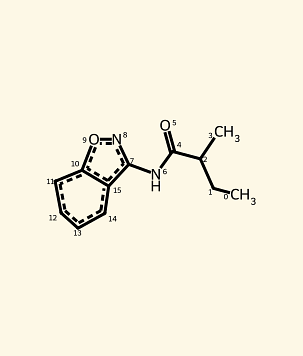 CCC(C)C(=O)Nc1noc2ccccc12